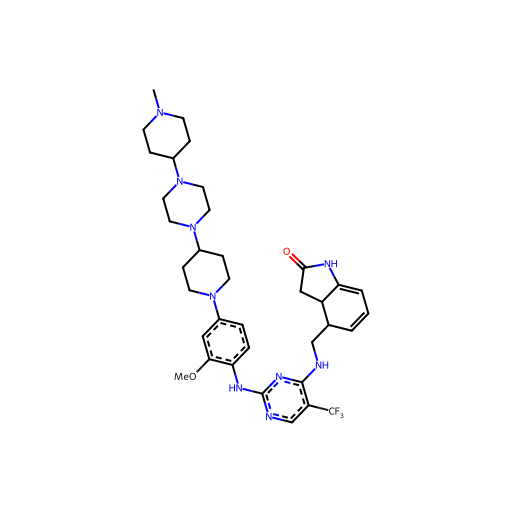 COc1cc(N2CCC(N3CCN(C4CCN(C)CC4)CC3)CC2)ccc1Nc1ncc(C(F)(F)F)c(NCC2C=CC=C3NC(=O)CC32)n1